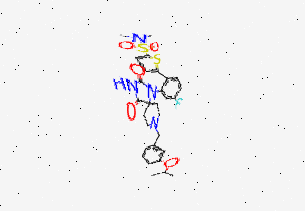 CC(C)Oc1cccc(CN2CCC3(CC2)C(=O)NC(=O)N3c2cc(F)ccc2-c2ccc(S(=O)(=O)N(C)C)s2)c1